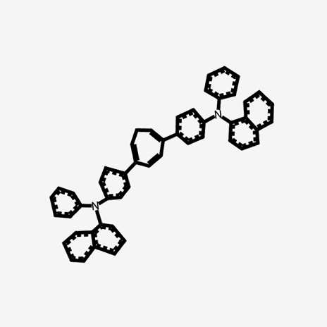 C1=CC(c2ccc(N(c3ccccc3)c3cccc4ccccc34)cc2)=CCC=C1c1ccc(N(c2ccccc2)c2cccc3ccccc23)cc1